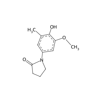 COc1cc(N2CCCC2=O)cc(C)c1O